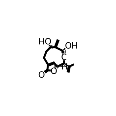 C=C1[C@H](O)CCC2=C[C@H](OC2=O)[C@H](C(=C)C)C[C@@H]1O